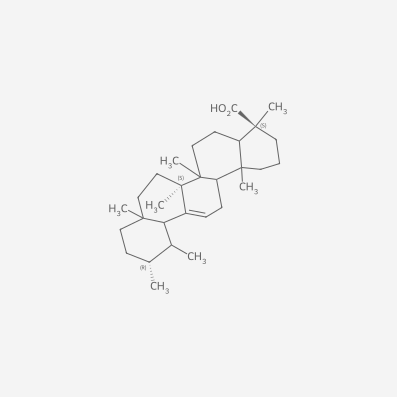 CC1C2C3=CCC4C5(C)CCC[C@](C)(C(=O)O)C5CCC4(C)[C@]3(C)CCC2(C)CC[C@H]1C